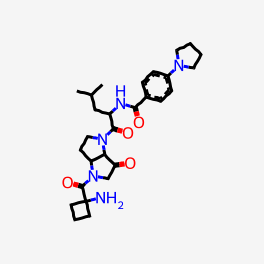 CC(C)CC(NC(=O)c1ccc(N2CCCC2)cc1)C(=O)N1CCC2C1C(=O)CN2C(=O)C1(N)CCC1